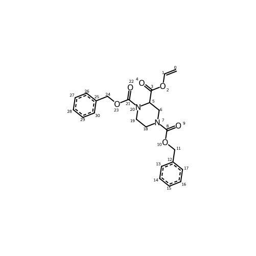 C=COC(=O)C1CN(C(=O)OCc2ccccc2)CCN1C(=O)OCc1ccccc1